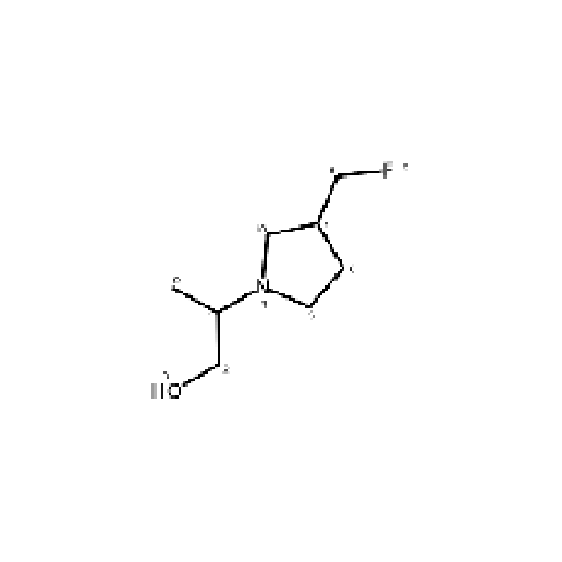 CC(CO)N1CCC(CF)C1